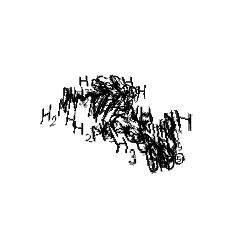 CC(C)C[C@H](NC(=O)[C@H](CCCNC(=N)N)NC(=O)[C@H](CO)NC(=O)[C@@H](NC(=O)[C@@H](N)CCCNC(=N)N)C(C)C)C(=O)N[C@H](C(=O)N[C@@H](Cc1c[nH]cn1)C(=O)O)[C@@H](C)O